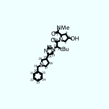 CNC(=O)C1CC(O)CN1C(=O)C(n1cc(C2CCN(Cc3ccccc3)C2)nn1)C(C)(C)C